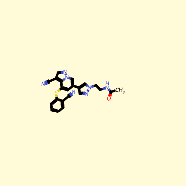 CC(=O)NCCn1cc(-c2cc(Sc3ccccc3C#N)c3c(C#N)cnn3c2)cn1